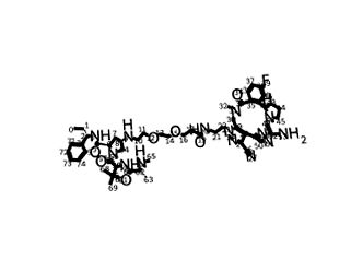 CC[C@H](NC(=O)[C@H]1C[C@@H](NCCOCCOCCC(=O)NCCn2nc(C#N)c3c2CN(C)C(=O)c2ccc(F)cc2[C@H]2CCCN2c2nc-3cnc2N)CN1C(=O)C(NC(=O)[C@@H](C)NC)C(C)(C)C)c1ccccc1